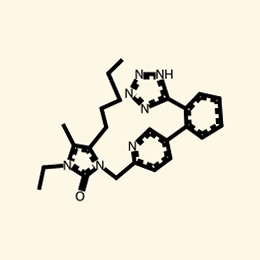 CCCCCc1c(C)n(CC)c(=O)n1Cc1ccc(-c2ccccc2-c2nnn[nH]2)cn1